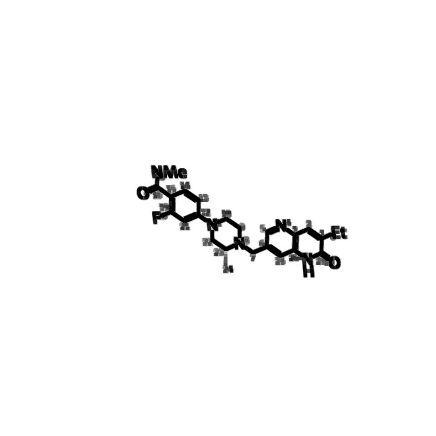 CCc1cc2ncc(CN3CCN(c4ccc(C(=O)NC)c(F)c4)C[C@H]3C)cc2[nH]c1=O